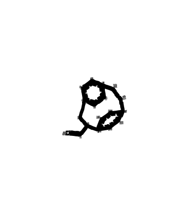 O=CC1Cc2ccc(cc2)CCc2ccc1cc2